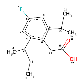 CCC(C)c1cc(F)cc(C(C)C)c1CC(=O)O